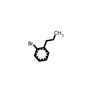 CC[CH]c1ccccc1Br